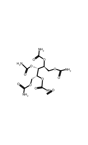 C=O.NC(=O)OC[C@H](OC(N)=O)[C@@H](OC(N)=O)[C@@H](COC(N)=O)OC(N)=O